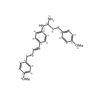 COc1ccc(CSC=Nc2ccc(NC(N)SCc3ccc(OC)cc3)cc2)cc1